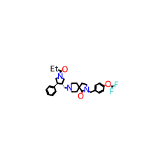 CCC(=O)N1C[C@H](CN2CCC3(CC2)CCN(Cc2ccc(OC(F)F)cc2)C3=O)[C@@H](c2ccccc2)C1